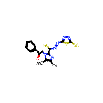 N#Cc1nc(C(S)/N=N/c2nnc(S)s2)n(CC(=O)c2ccccc2)c1C#N